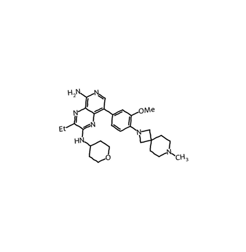 CCc1nc2c(N)ncc(-c3ccc(N4CC5(CCN(C)CC5)C4)c(OC)c3)c2nc1NC1CCOCC1